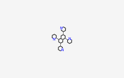 c1ccc(-c2cc(-c3cccnc3)cc3c(-c4ccccn4)cc(-c4cccnc4)cc23)nc1